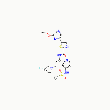 CCOc1cncc(-c2cnc(C(=O)N[C@H](CCN3CC[C@H](F)C3)c3cc(NS(=O)(=O)C4CC4)ccn3)s2)n1